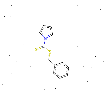 S=C(SCc1ccccc1)n1cccc1